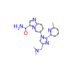 Cc1cccc(-c2nc(CN(C)C)cn2-c2ccc3ncc(C(N)=O)n3c2)n1